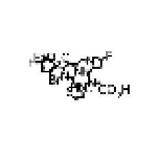 CCOC(=O)C1=C(CN2CC(F)CC2CN(C)CC(=O)O)NC(c2nccs2)=N[C@H]1c1ccc(F)cc1Br